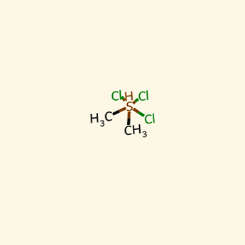 C[SH](C)(Cl)(Cl)Cl